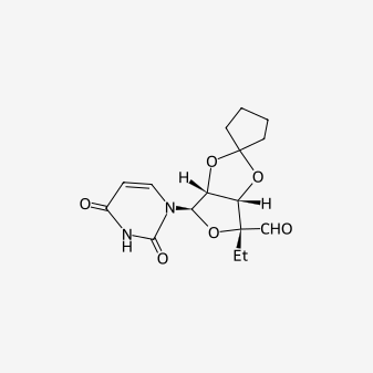 CC[C@@]1(C=O)O[C@@H](n2ccc(=O)[nH]c2=O)[C@@H]2OC3(CCCC3)O[C@@H]21